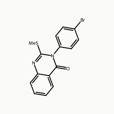 CSc1nc2ccccc2c(=O)n1-c1ccc(Br)cc1